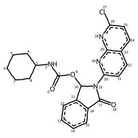 O=C(NC1CCCCC1)OC1c2ccccc2C(=O)N1c1ccc2ccc(Cl)nc2n1